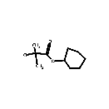 CC(C)(Cl)C(=O)OC1CCCCC1